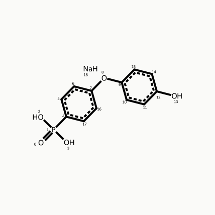 O=P(O)(O)c1ccc(Oc2ccc(O)cc2)cc1.[NaH]